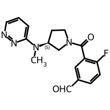 CN(c1cccnn1)[C@H]1CCN(C(=O)c2cc(C=O)ccc2F)C1